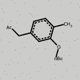 CCCCOc1cc(CC(C)=O)ccc1C